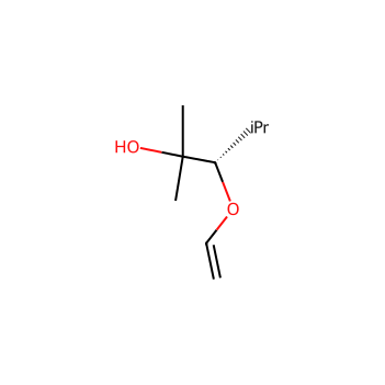 C=CO[C@@H](C(C)C)C(C)(C)O